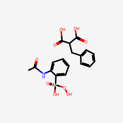 CC(=O)Nc1ccccc1[As](=O)(O)OO.O=C(O)C(Cc1ccccc1)C(=O)O